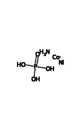 N.O=P(O)(O)O.[Co].[Ni]